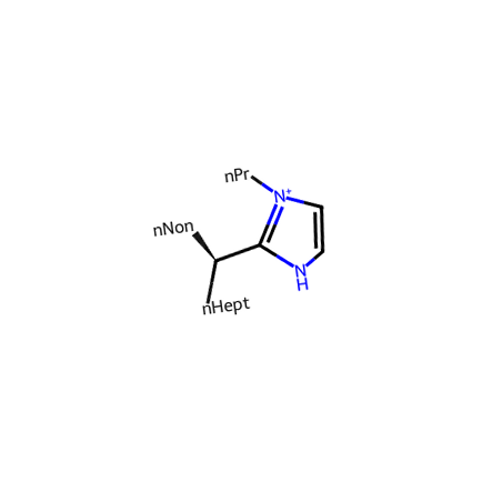 CCCCCCCCC[C@H](CCCCCCC)c1[nH]cc[n+]1CCC